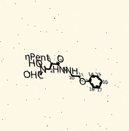 CCCCC[C@@H](CN(O)C=O)C(=O)NNCCOc1ccccc1